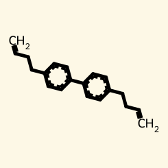 C=CCCc1ccc(-c2ccc(CCC=C)cc2)cc1